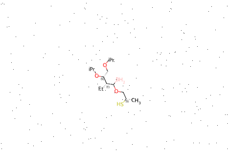 BC(OC[C@H](C)S)[C@H](CC)[C@@H](COC(C)C)OC(C)C